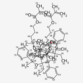 C=C(C)C(=O)OCCC[Si](C)(C)O[Si](C)(C)CC[Si](C)(OC(CC)(CC)[Si](OC(CC)(CC)[Si](C)(CC[Si](C)(C)O[Si](C)(C)CCCOC(=O)C(=C)C)c1ccccc1)(c1ccccc1)c1ccccc1)c1ccccc1